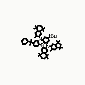 Cc1cc2c(cc1N1c3cc(C(C)(C)c4ccccc4)ccc3B3c4cc5c(cc4N(c4cc6c(cc4C)C(C)(C)CC6(C)C)c4cc(C(C)(C)C)cc1c43)C(C)(C)CCC5(C)C)C(C)(C)CCC2(C)C